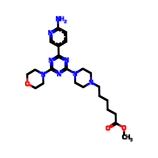 COC(=O)CCCCCN1CCN(c2nc(-c3ccc(N)nc3)nc(N3CCOCC3)n2)CC1